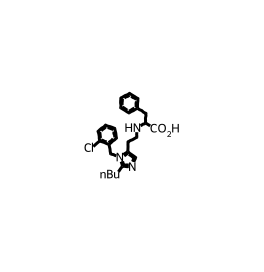 CCCCc1ncc(CCNC(Cc2ccccc2)C(=O)O)n1Cc1ccccc1Cl